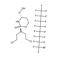 FC(F)(F)C(F)(F)C(F)(F)C(F)(F)C(F)(F)C(F)(F)C(F)(F)C(F)(F)Br.O=[P@]1(N(CCCl)CCCl)N[C@H](OO)CCO1